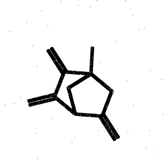 C=C1CC2(C)CC1C(=C)C2=C